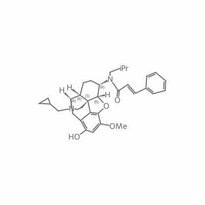 COc1cc(O)c2c3c1O[C@H]1[C@H](N(CC(C)C)C(=O)C=Cc4ccccc4)CC[C@H]4[C@@H](C2)N(CC2CC2)CC[C@@]341